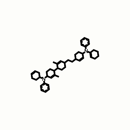 CC1=CC(CCC2C=CC(N(C3=CCCCC3)c3ccccc3)CC2)CCC1C1CCC(N(c2ccccc2)C2CC=CCC2)C=C1C